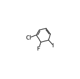 FC1C(Cl)=CC=CC1I